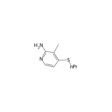 CCCSc1ccnc(N)c1C